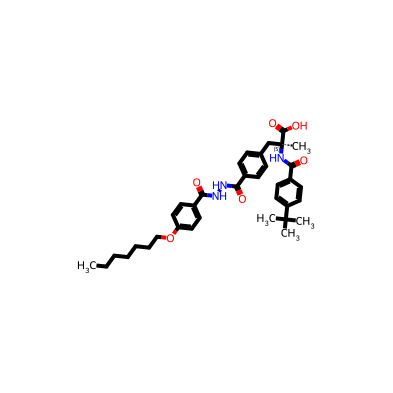 CCCCCCCOc1ccc(C(=O)NNC(=O)c2ccc(C[C@](C)(NC(=O)c3ccc(C(C)(C)C)cc3)C(=O)O)cc2)cc1